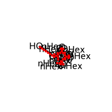 CCCCCCOc1cc(-c2c3nc(c(-c4cc(OCCCCCC)c(OCCCCCC)c(OCCCCCC)c4)c4ccc([nH]4)c(-c4cc(OCCCCCC)c(OCCCCCC)c(OCCCCCC)c4)c4nc(c(-c5ccc(OCCCCCCCCCCCCO)cc5)c5ccc2[nH]5)C=C4)C=C3)cc(OCCCCCC)c1OCCCCCC